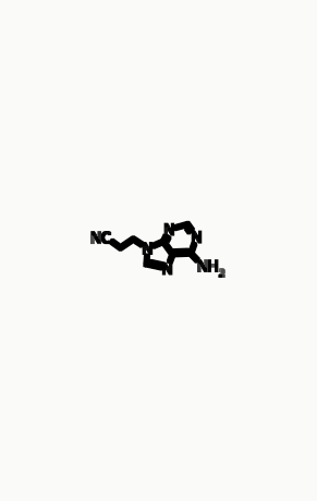 N#CCCn1cnc2c(N)ncnc21